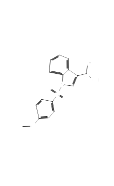 COc1ccc(S(=O)(=O)n2cc([C@H](C)O)c3ccccc32)cc1